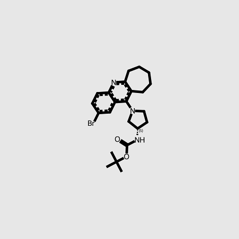 CC(C)(C)OC(=O)N[C@H]1CCN(c2c3c(nc4ccc(Br)cc24)CCCCC3)C1